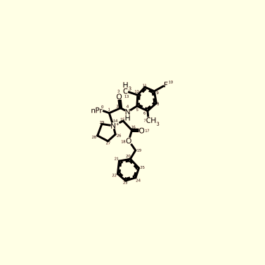 CCCC(C(=O)Nc1c(C)cc(F)cc1C)[N+]1(CC(=O)OCc2ccccc2)CCCC1